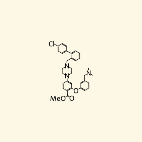 COC(=O)c1ccc(N2CCN(Cc3ccccc3-c3ccc(Cl)cc3)CC2)cc1Oc1cccc(CN(C)C)c1